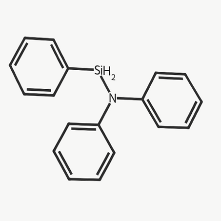 c1ccc([SiH2]N(c2ccccc2)c2ccccc2)cc1